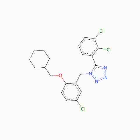 Clc1ccc(OCC2CCCCC2)c(Cn2nnnc2-c2cccc(Cl)c2Cl)c1